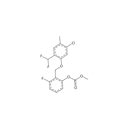 COC(=O)Oc1cccc(F)c1COc1cc(Cl)c(C)cc1C(F)F